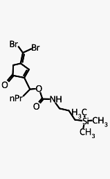 CCCC(OC(=O)NCCC[Si](C)(C)C)C1=CC(=C(Br)Br)CC1=O